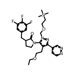 CCOCCc1c(-c2ccnnc2)nn(COCC[Si](C)(C)C)c1N1CCC(Cc2cc(F)c(F)c(F)c2)C1=O